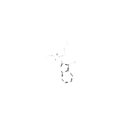 CCCCN(c1sc2ccccc2c1Br)S(=O)(=O)CC